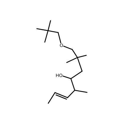 CC=CC(C)C(O)CC(C)(C)COCC(C)(C)C